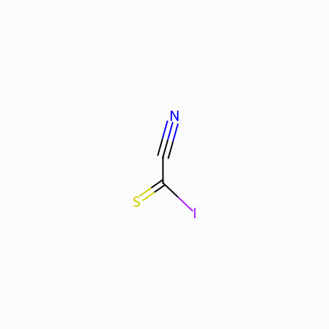 N#CC(=S)I